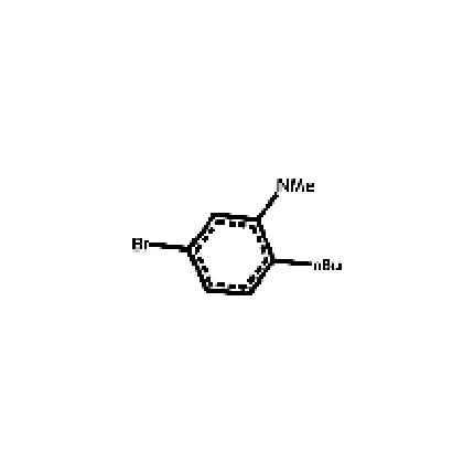 CCCCc1ccc(Br)cc1NC